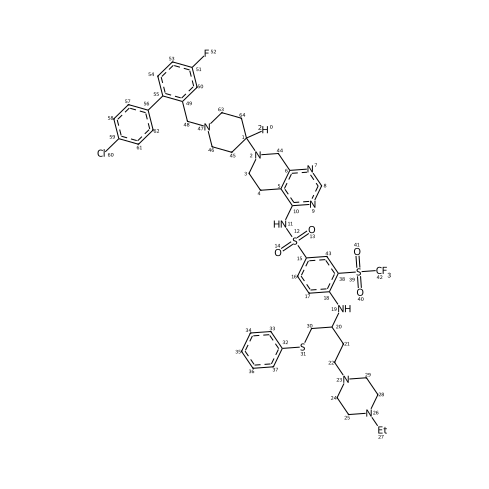 [2H]C1(N2CCc3c(ncnc3NS(=O)(=O)c3ccc(NC(CCN4CCN(CC)CC4)CSc4ccccc4)c(S(=O)(=O)C(F)(F)F)c3)C2)CCN(Cc2cc(F)ccc2-c2ccc(Cl)cc2)CC1